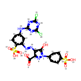 O=C(O)c1nn(-c2ccc(S(=O)(=O)O)cc2)c(O)c1/N=N/c1cc(Nc2nc(Cl)nc(Cl)n2)ccc1S(=O)(=O)O